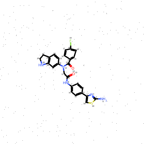 Nc1nc(-c2ccc(NC(=O)CN(C(=O)c3ccc(F)cc3)c3ccc4c(c3)NCC4)cc2)cs1